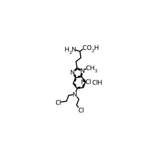 Cl.Cl.Cn1c(CCC(N)C(=O)O)nc2cc(N(CCCl)CCCl)ccc21